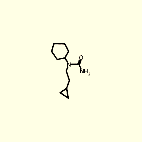 NC(=O)N(CCC1CC1)C1CCCCC1